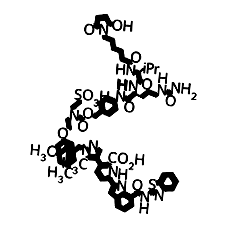 Cc1c(-c2ccc(-c3cc4cccc(C(=O)Nc5nc6ccccc6s5)c4[nH]3)nc2C(=O)O)cnn1CC12CC3(C)CC(C)(C1)CC(OCCN(CCS(=O)(=O)O)C(=O)OCc1ccc(NC(=O)[C@H](CCCNC(N)=O)NC(=O)[C@@H](NC(=O)CCCCCN4C(=O)C=CC4O)C(C)C)cc1)(C3)C2